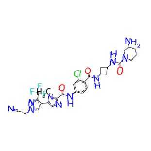 Cn1c(-c2cn(CC#N)nc2C(F)(F)F)cnc1C(=O)Nc1ccc(C(=O)NC2CC(NC(=O)N3CCCC(N)C3)C2)c(Cl)c1